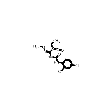 CCS(=C=O)C(=NOC)NC(=O)Nc1ccc(Cl)cc1Cl